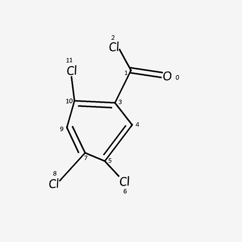 O=C(Cl)c1cc(Cl)c(Cl)cc1Cl